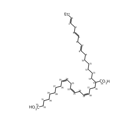 CCC=CCC=CCC=CCCCCCCC(CC/C=C\C/C=C\C/C=C\CCCCCCCC(=O)O)C(=O)O